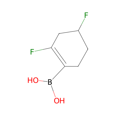 OB(O)C1=C(F)CC(F)CC1